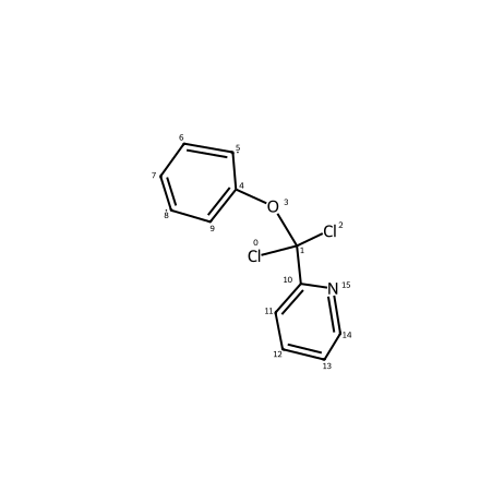 ClC(Cl)(Oc1[c]cc[c]c1)c1ccccn1